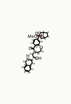 COC1CC2CCC(C1)N2C(=O)c1ccc2c(c1)OCCN(CC(O)[C@@H]1Cc3ccccc3CN1)C2=O